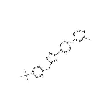 Cc1cc(-c2ccc(-c3cn(Cc4ccc(C(C)(C)C)cc4)nn3)cc2)ccn1